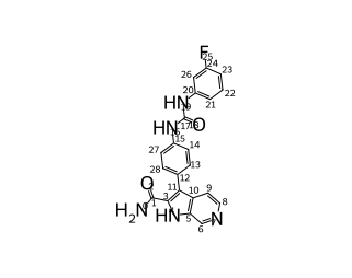 NC(=O)c1[nH]c2cnccc2c1-c1ccc(NC(=O)Nc2cccc(F)c2)cc1